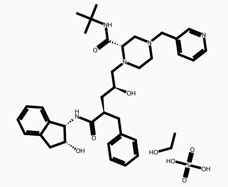 CC(C)(C)NC(=O)[C@@H]1CN(Cc2cccnc2)CCN1C[C@@H](O)C[C@@H](Cc1ccccc1)C(=O)N[C@H]1c2ccccc2C[C@H]1O.CCO.O=S(=O)(O)O